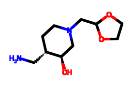 NC[C@@H]1CCN(CC2OCCO2)C[C@H]1O